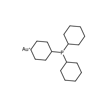 C1CCC(P(C2CCCCC2)C2CCCCC2)CC1.[Au+]